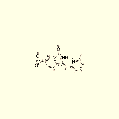 Cc1cccc(/C=C2\NC(=O)c3cc([N+](=O)[O-])ccc32)n1